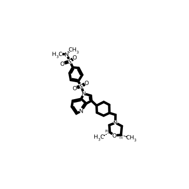 C[C@@H]1CN(CC2CCC(c3cn(S(=O)(=O)c4ccc(S(=O)(=O)N(C)C)cc4)c4cccnc34)CC2)C[C@H](C)O1